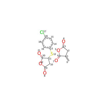 C=C1CC(=O)OC1=O.O=C1CC(Sc2ccc(Cl)cc2)C(=O)O1